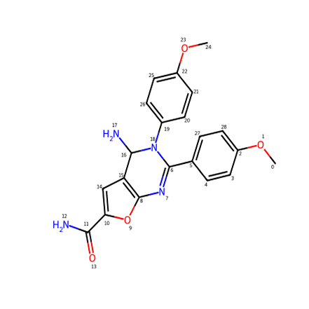 COc1ccc(C2=Nc3oc(C(N)=O)cc3C(N)N2c2ccc(OC)cc2)cc1